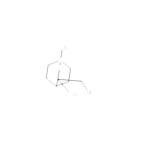 [BH3-][N+]12CCC(CC1)C(O)(CN)C2